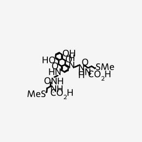 CSCCC(NC(=O)O)C(=O)NCCNc1ccc(NCCNC(=O)C(CCSC)NC(=O)O)c2c1C(=O)c1c(O)ccc(O)c1C2=O